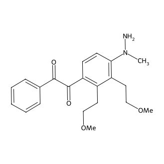 COCCc1c(C(=O)C(=O)c2ccccc2)ccc(N(C)N)c1CCOC